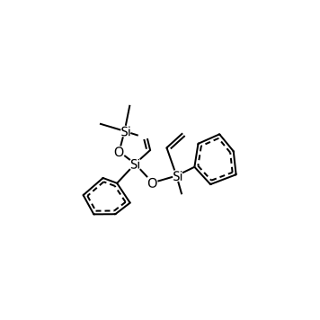 C=C[Si](C)(O[Si](C=C)(O[Si](C)(C)C)c1ccccc1)c1ccccc1